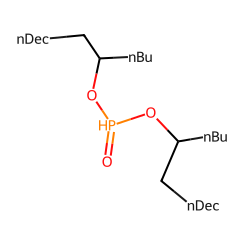 CCCCCCCCCCCC(CCCC)O[PH](=O)OC(CCCC)CCCCCCCCCCC